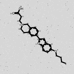 CCCCOc1ccc2oc(-c3ccc4c(c3)CCN(CCC(=O)O)C4)cc2c1